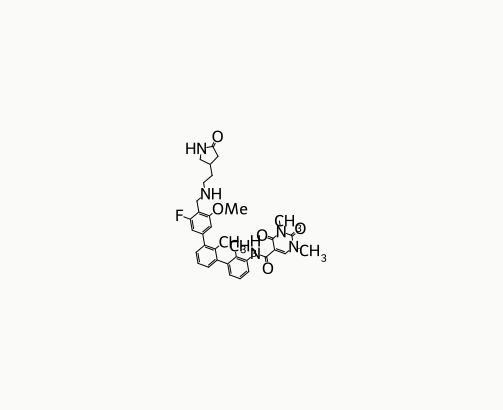 COc1cc(-c2cccc(-c3cccc(NC(=O)c4cn(C)c(=O)n(C)c4=O)c3C)c2C)cc(F)c1CNCCC1CNC(=O)C1